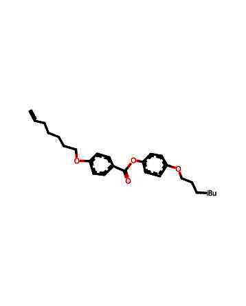 C=CCCCCCOc1ccc(C(=O)Oc2ccc(OCCCC(C)CC)cc2)cc1